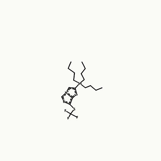 CCC[CH2][Sn]([CH2]CCC)([CH2]CCC)[c]1cn2cnc(SC(F)(F)F)c2s1